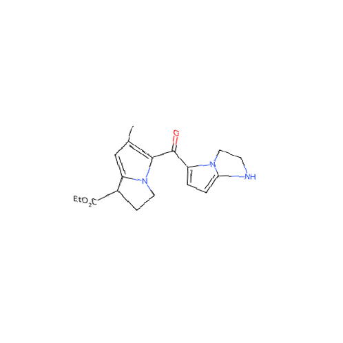 CCOC(=O)C1CCn2c1cc(C)c2C(=O)c1ccc2n1CCN2